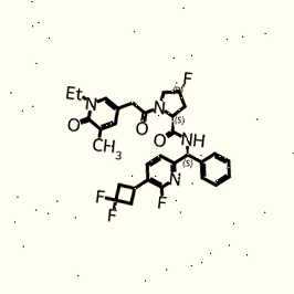 CCn1cc(CC(=O)N2C[C@H](F)C[C@H]2C(=O)N[C@@H](c2ccccc2)c2ccc(C3CC(F)(F)C3)c(F)n2)cc(C)c1=O